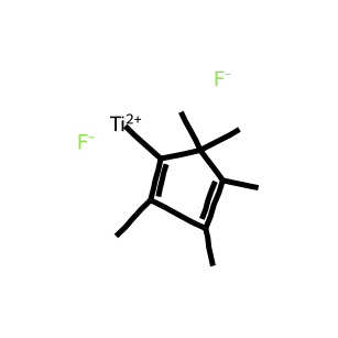 CC1=C(C)C(C)(C)[C]([Ti+2])=C1C.[F-].[F-]